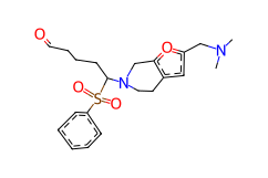 CN(C)Cc1cc2c(o1)CN(C(CCCC=O)S(=O)(=O)c1ccccc1)CC2